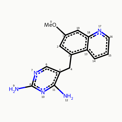 COc1cc(Cc2cnc(N)nc2N)c2cccnc2c1